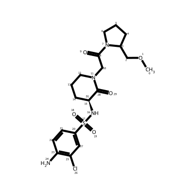 COCC1CCCN1C(=O)CN1CCC[C@H](NS(=O)(=O)c2ccc(N)c(Cl)c2)C1=O